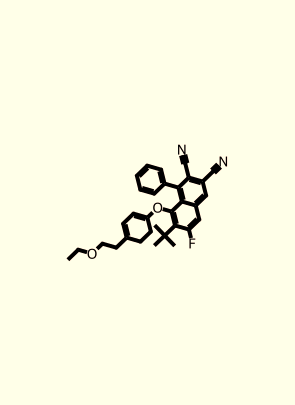 CCOCCC1=CC=C(Oc2c(C(C)(C)C)c(F)cc3cc(C#N)c(C#N)c(-c4ccccc4)c23)CC1